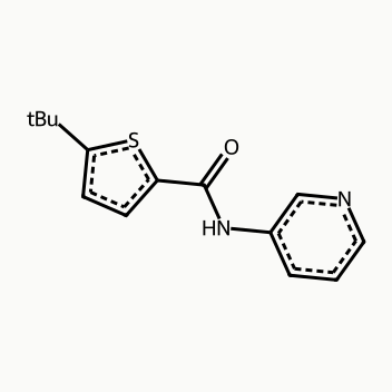 CC(C)(C)c1ccc(C(=O)Nc2cccnc2)s1